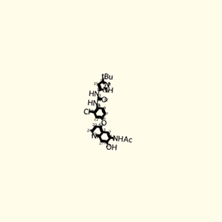 CC(=O)Nc1cc2c(Oc3ccc(NC(=O)Nc4cc(C(C)(C)C)n[nH]4)c(Cl)c3)ccnc2cc1O